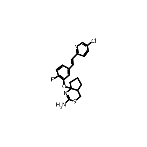 NC1=NC2(Oc3cc(/C=C/c4ccc(Cl)cn4)ccc3F)CCCC2CS1